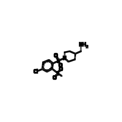 CS(=O)(=O)c1cc(Cl)ccc1S(=O)(=O)N1CCC(CN)CC1